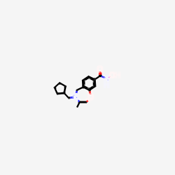 CC1COc2cc(C(=O)NO)ccc2CN1CC1CCCC1